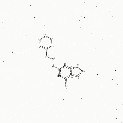 O=c1[nH]c(COCc2ccccc2)nn2cncc12